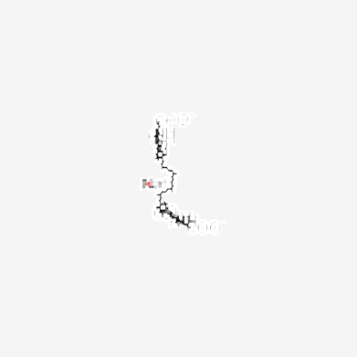 CC(C=CC=C(C)C=CC1=C(C)OC(OC(=O)CNC(=O)NCCCC(=O)[O-])CC1(C)C)=CC=CC=C(C)C=CC=C(C)C=CC1=C(C)C(=O)C(OC(=O)CNC(=O)NCCCC(=O)[O-])CC1(C)C.[Na+].[Na+]